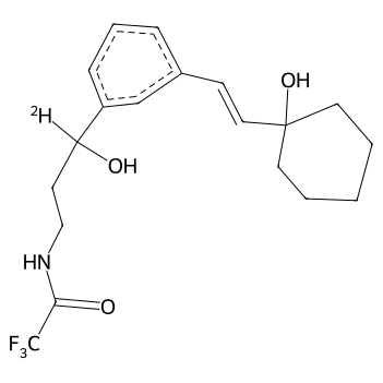 [2H]C(O)(CCNC(=O)C(F)(F)F)c1cccc(C=CC2(O)CCCCC2)c1